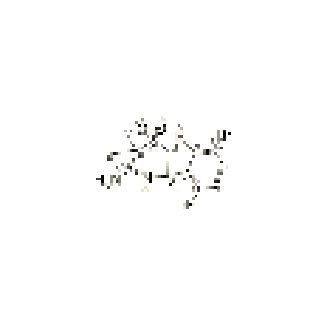 CC1(c2c(F)ccc(Br)c2F)CS(=O)(=O)C(C)(C)C(N)=N1